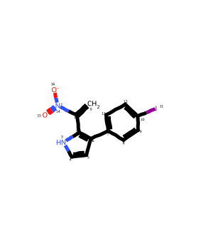 C=C(c1[nH]ccc1-c1ccc(I)cc1)[N+](=O)[O-]